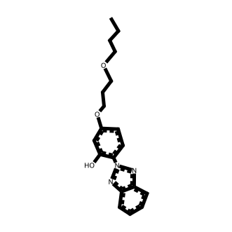 CCCCOCCCOc1ccc(-n2nc3ccccc3n2)c(O)c1